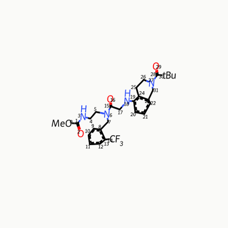 COC(=O)NCCN(Cc1ccccc1C(F)(F)F)C(=O)CNc1cccc2c1CCN(C(=O)C(C)(C)C)C2